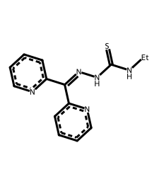 CCNC(=S)NN=C(c1ccccn1)c1ccccn1